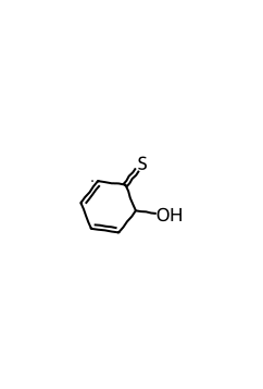 OC1C=CC=[C]C1=S